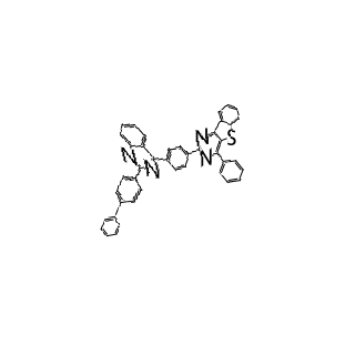 c1ccc(-c2ccc(-c3nc(-c4ccc(-c5nc(-c6ccccc6)c6sc7ccccc7c6n5)cc4)c4ccccc4n3)cc2)cc1